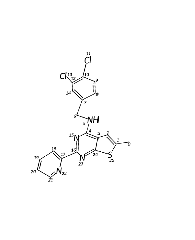 Cc1cc2c(NCc3ccc(Cl)c(Cl)c3)nc(-c3ccccn3)nc2s1